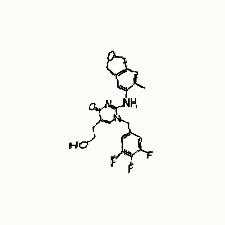 Cc1cc2c(cc1Nc1nc(=O)c(CCO)cn1Cc1cc(F)c(F)c(F)c1)COC2